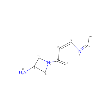 C=C(/C=C\N=C/C)N1CC(N)C1